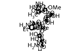 CCC1=C(N)c2ncn([C@@H]3O[C@H](COP(=O)(O)OP(=O)(O)CP(=O)(O)OC[C@H]4O[C@@H](n5c[n+](C)c6c(=O)[nH]c(N)nc65)[C@H](O)[C@@H]4COC)[C@@H](OP(=O)(O)OC[C@H]4O[C@@H](n5cnc6c(=O)[nH]c(N)nc65)[C@H](O)[C@@H]4O)[C@H]3OC)c2N=CC1